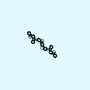 c1ccc2c(c1)oc1c2ccc2c1c1ccccc1n2-c1ccc2oc3cc4c(cc3c2c1)oc1ccc(-n2c3ccccc3c3c5oc6ccccc6c5ccc32)cc14